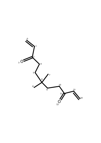 C=CC(=O)CCC(C)(C)CCC(=O)C=C